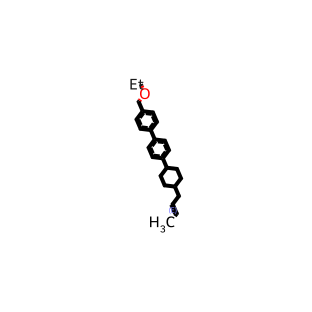 C/C=C/CC1CCC(c2ccc(-c3ccc(COCC)cc3)cc2)CC1